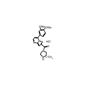 COc1ccc(-c2ccnc3cc(C(=O)N4CCN[C@@H](C)C4)nn23)cc1OC.Cl